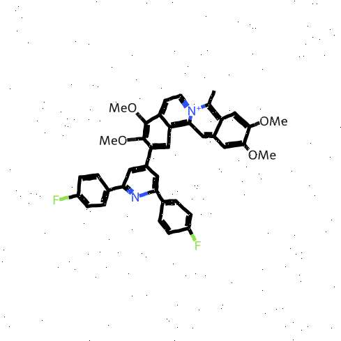 COc1cc2cc3c4cc(-c5cc(-c6ccc(F)cc6)nc(-c6ccc(F)cc6)c5)c(OC)c(OC)c4cc[n+]3c(C)c2cc1OC